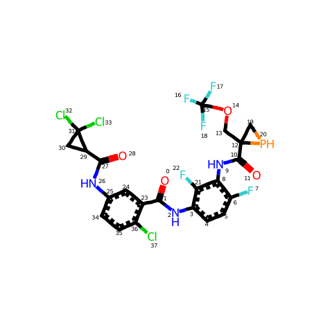 O=C(Nc1ccc(F)c(NC(=O)C2(COC(F)(F)F)CP2)c1F)c1cc(NC(=O)C2CC2(Cl)Cl)ccc1Cl